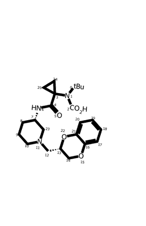 CC(C)(C)N(C(=O)O)C1(C(=O)N[C@H]2CCCN(C[C@H]3COc4ccccc4O3)C2)CC1